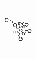 O=C(NC(Cc1ccccc1)C(O)CC(Cc1ccc(OCCN2CCOCC2)cc1)C(=O)N[C@H]1c2ccccc2C[C@@H]1O)OCc1ccncc1